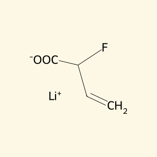 C=CC(F)C(=O)[O-].[Li+]